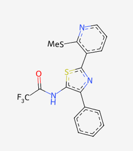 CSc1ncccc1-c1nc(-c2ccccc2)c(NC(=O)C(F)(F)F)s1